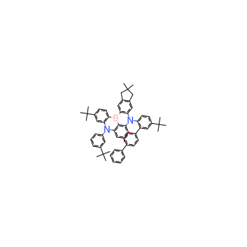 Cc1cc2c3c(c1)N(c1ccc(C(C)(C)C)cc1-c1ccc(-c4ccccc4)cc1)c1cc4c(cc1B3c1ccc(C(C)(C)C)cc1N2c1cccc(C(C)(C)C)c1)CC(C)(C)C4